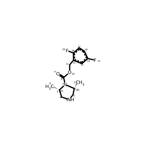 C[C@@H]1CNC[C@H](C)N1C(=O)OCc1cc(F)ccc1F